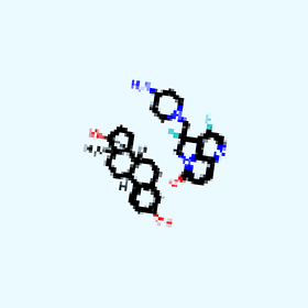 C[C@]12CC[C@@H]3c4ccc(O)cc4CC[C@H]3[C@@H]1CC[C@@H]2O.NC1CCN(CC2(F)Cn3c(=O)ccc4ncc(F)c2c43)CC1